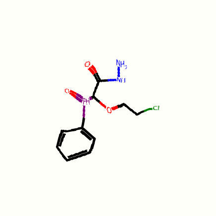 NNC(=O)C(OCCCl)[PH](=O)c1ccccc1